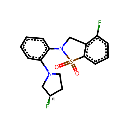 O=S1(=O)c2cccc(F)c2CN1c1ccccc1N1CC[C@@H](F)C1